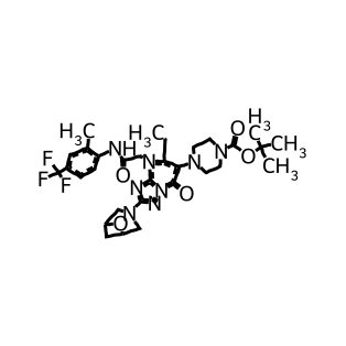 CCc1c(N2CCN(C(=O)OC(C)(C)C)CC2)c(=O)n2nc(N3CC4CC(C3)O4)nc2n1CC(=O)Nc1ccc(C(F)(F)F)cc1C